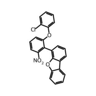 O=[N+]([O-])c1cccc(Oc2ccccc2Cl)c1-c1cccc2c1oc1ccccc12